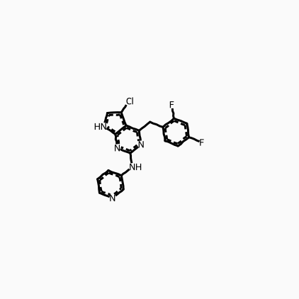 Fc1ccc(Cc2nc(Nc3cccnc3)nc3[nH]cc(Cl)c23)c(F)c1